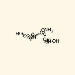 CC(C)(O)COc1ccc2c(C(=O)NC3CC4(C3)CC(Oc3cc(-c5cccc(S(=O)(=O)NCCO)c5)ccc3C(N)=O)C4)cnn2c1